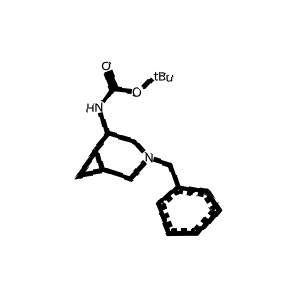 CC(C)(C)OC(=O)NC1CN(Cc2ccccc2)CC2CC21